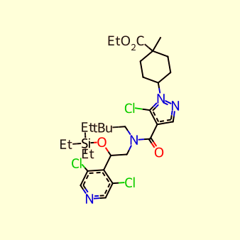 CCOC(=O)C1(C)CCC(n2ncc(C(=O)N(CC(O[Si](CC)(CC)CC)c3c(Cl)cncc3Cl)CC(C)(C)C)c2Cl)CC1